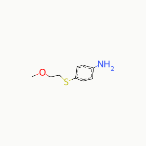 COCCSc1ccc(N)cc1